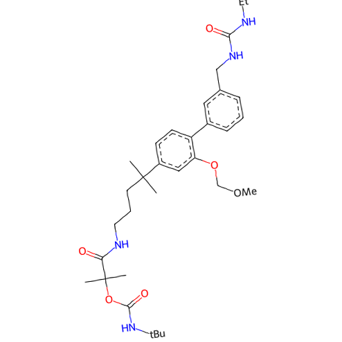 CCNC(=O)NCc1cccc(-c2ccc(C(C)(C)CCCNC(=O)C(C)(C)OC(=O)NC(C)(C)C)cc2OCOC)c1